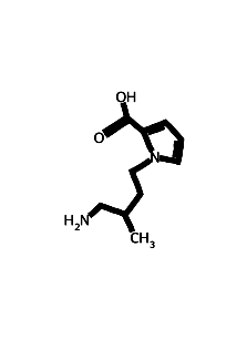 CC(CN)CCn1cccc1C(=O)O